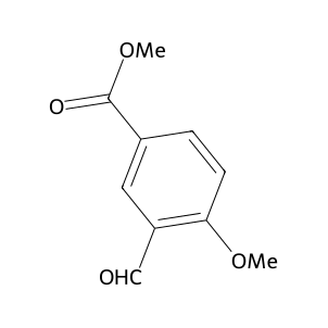 COC(=O)c1ccc(OC)c(C=O)c1